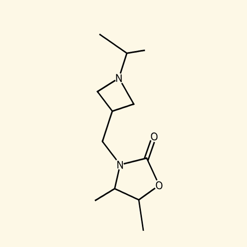 CC1OC(=O)N(CC2CN(C(C)C)C2)C1C